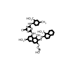 Cc1ccc(Nc2nc(Cl)nc(Nc3cc(S(=O)(=O)O)cc4cc(SOOO)c(/N=N/c5ccc6ccccc6c5S(=O)(=O)O)c(O)c34)n2)c(C(=O)O)c1